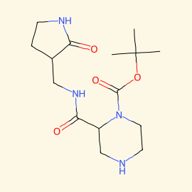 CC(C)(C)OC(=O)N1CCNCC1C(=O)NCC1CCNC1=O